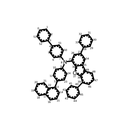 c1ccc(-c2ccc(N(c3ccc(-c4cccc5ccccc45)cc3)c3cc(-c4ccccc4)cc4c3oc3c(-c5ccccc5)cccc34)cc2)cc1